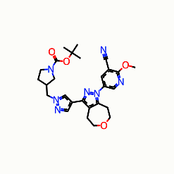 COc1ncc(-n2nc(-c3cnn(CC4CCN(C(=O)OC(C)(C)C)C4)c3)c3c2CCOCC3)cc1C#N